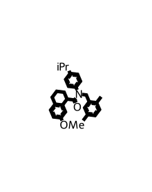 COc1ccc2c(c1)C(C(=O)N(Cc1cc(C)ccc1C)c1ccc(C(C)C)cc1)CCC2